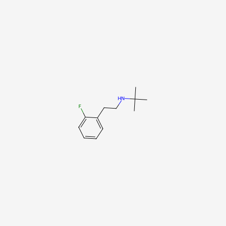 CC(C)(C)NCCc1ccccc1F